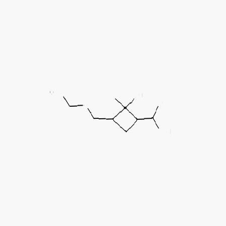 CCOC(=O)C(C)C1CC(COCOC)C1(C)C